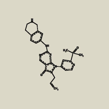 C=CCn1c(=O)c2cnc(Nc3ccc4c(c3)CNCC4)nc2n1-c1ccnc(P(C)(C)=O)c1